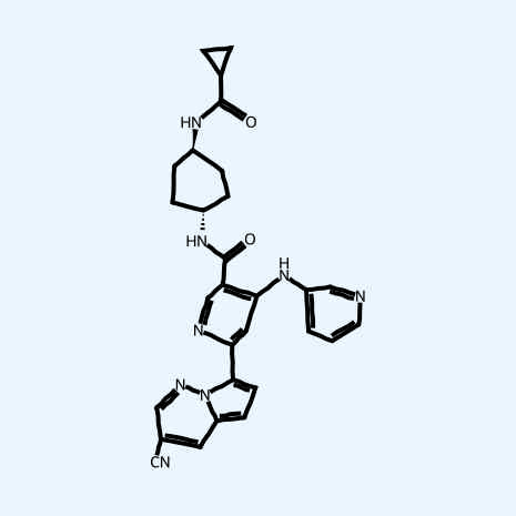 N#Cc1cnn2c(-c3cc(Nc4cccnc4)c(C(=O)N[C@H]4CC[C@H](NC(=O)C5CC5)CC4)cn3)ccc2c1